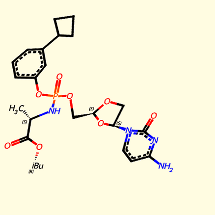 CC[C@@H](C)OC(=O)[C@H](C)NP(=O)(OC[C@H]1OC[C@@H](n2ccc(N)nc2=O)O1)Oc1cccc(C2CCC2)c1